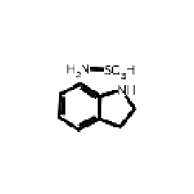 NS(=O)(=O)O.c1ccc2c(c1)CCN2